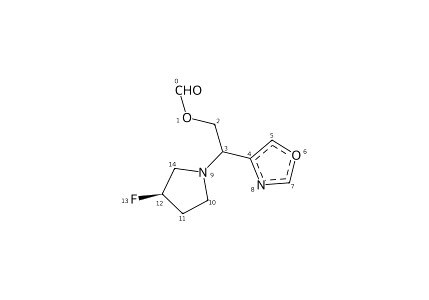 O=COCC(c1cocn1)N1CC[C@@H](F)C1